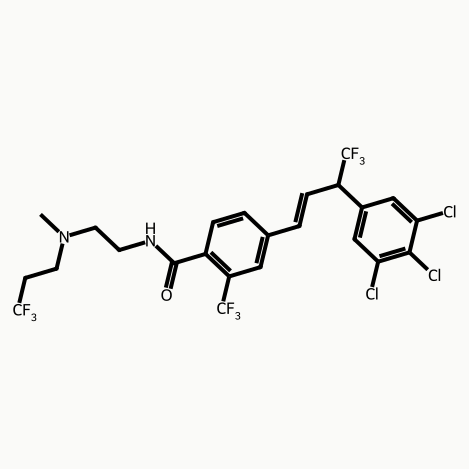 CN(CCNC(=O)c1ccc(/C=C/C(c2cc(Cl)c(Cl)c(Cl)c2)C(F)(F)F)cc1C(F)(F)F)CCC(F)(F)F